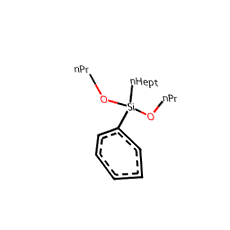 CCCCCCC[Si](OCCC)(OCCC)c1ccccc1